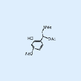 CNCC(OC(C)=O)c1ccc(OC(C)=O)cc1.Cl